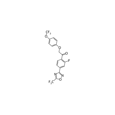 O=C(COc1ccc(OC(F)(F)F)cc1)c1ccc(-c2noc(C(F)(F)F)n2)cc1F